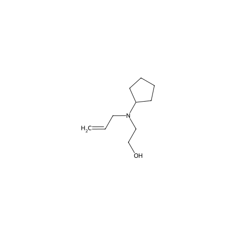 C=CCN(CCO)C1CCCC1